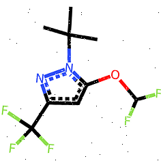 CC(C)(C)n1nc(C(F)(F)F)cc1OC(F)F